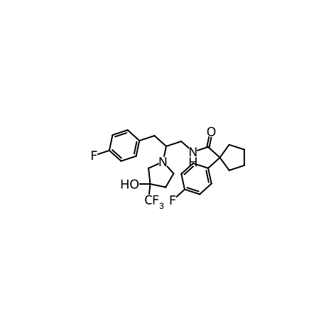 O=C(NCC(Cc1ccc(F)cc1)N1CCC(O)(C(F)(F)F)C1)C1(c2ccc(F)cc2)CCCC1